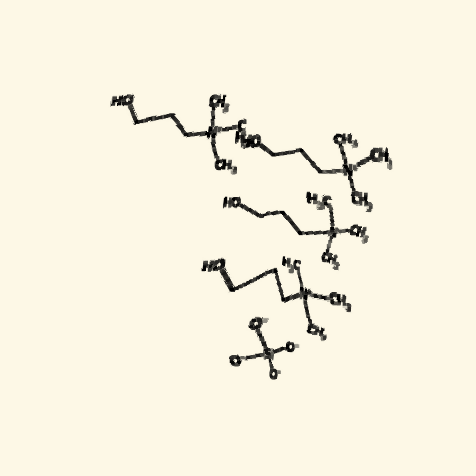 C[N+](C)(C)CCCO.C[N+](C)(C)CCCO.C[N+](C)(C)CCCO.C[N+](C)(C)CCCO.[O-][Si]([O-])([O-])[O-]